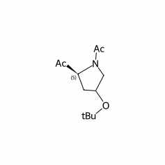 CC(=O)[C@@H]1CC(OC(C)(C)C)CN1C(C)=O